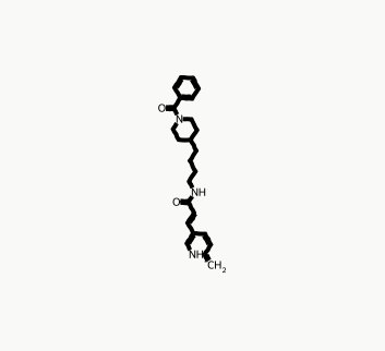 C=C\C=C/C(/C=C/C(=O)NCCCCC1CCN(C(=O)c2ccccc2)CC1)=C\N